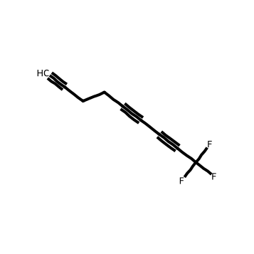 C#CCCC#CC#CC(F)(F)F